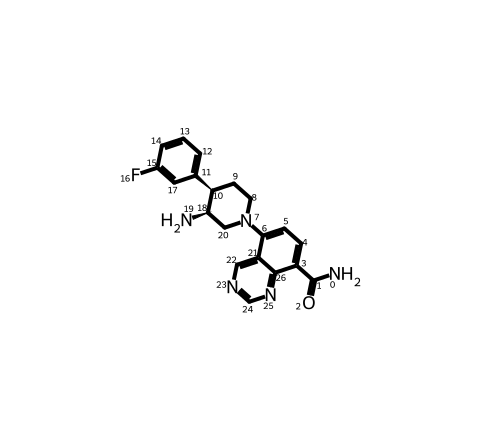 NC(=O)c1ccc(N2CC[C@H](c3cccc(F)c3)[C@H](N)C2)c2cncnc12